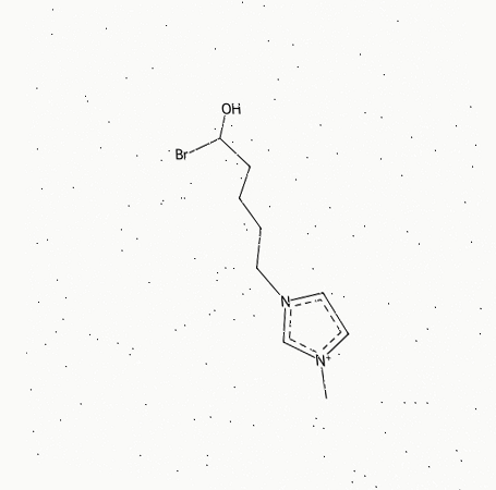 C[n+]1ccn(CCCCC(O)Br)c1